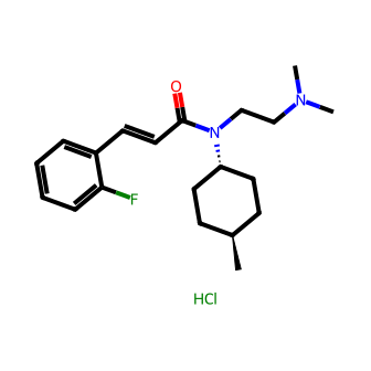 CN(C)CCN(C(=O)C=Cc1ccccc1F)[C@H]1CC[C@H](C)CC1.Cl